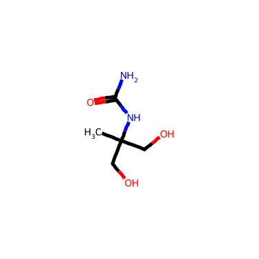 CC(CO)(CO)NC(N)=O